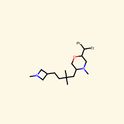 CCC(C(C)C)C1CN(C)C(CC(C)(C)CCC2CN(C)C2)CO1